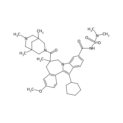 COc1ccc2c(c1)CC(C)(C(=O)N1CC3(C)CN(C)CC(C)(C1)C3)Cn1c-2c(C2CCCCC2)c2ccc(C(=O)NS(=O)(=O)N(C)C)cc21